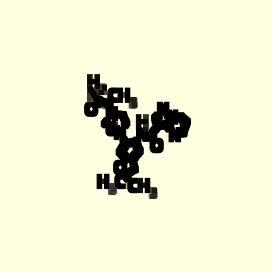 C[C@H](C(N)=O)N1CCN(c2cc3c(cc2NC(=O)c2cnn4cccnc24)CC(C)(C)O3)CC1